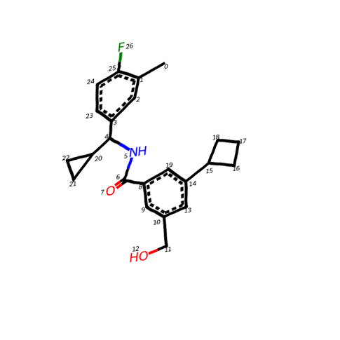 Cc1cc(C(NC(=O)c2cc(CO)cc(C3CCC3)c2)C2CC2)ccc1F